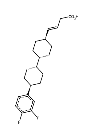 O=C(O)CC=C[C@H]1CC[C@H]([C@H]2CC[C@H](c3ccc(F)c(F)c3)CC2)CC1